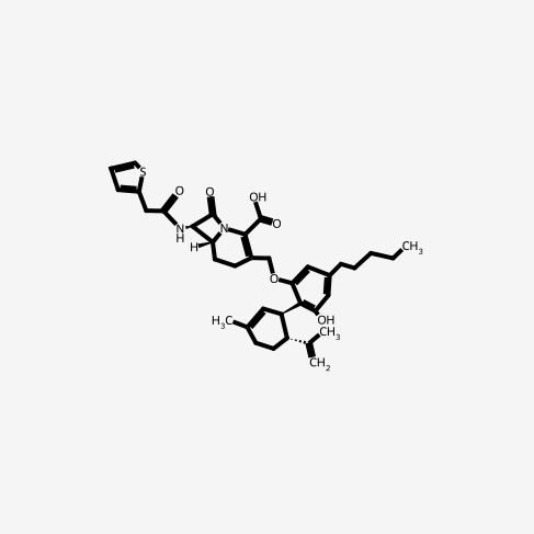 C=C(C)[C@@H]1CCC(C)=C[C@H]1c1c(O)cc(CCCCC)cc1OCC1=C(C(=O)O)N2C(=O)[C@@H](NC(=O)Cc3cccs3)[C@H]2CC1